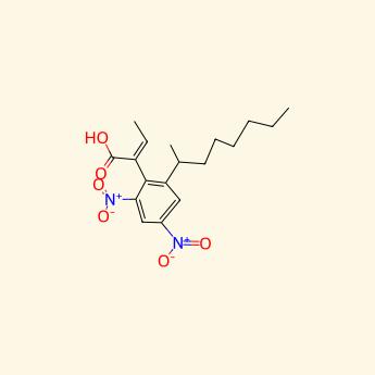 CC=C(C(=O)O)c1c(C(C)CCCCCC)cc([N+](=O)[O-])cc1[N+](=O)[O-]